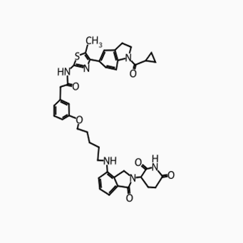 Cc1sc(NC(=O)Cc2cccc(OCCCCCNc3cccc4c3CN(C3CCC(=O)NC3=O)C4=O)c2)nc1-c1ccc2c(c1)CCN2C(=O)C1CC1